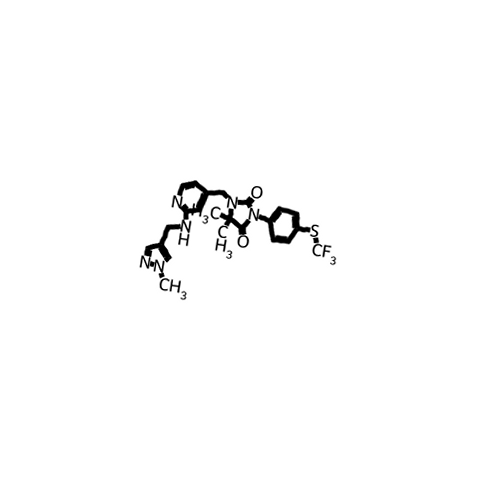 Cn1cc(CNc2cc(CN3C(=O)N(c4ccc(SC(F)(F)F)cc4)C(=O)C3(C)C)ccn2)cn1